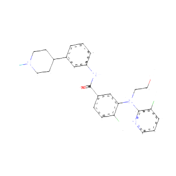 O=C(Nc1cccc(C2CCN(F)CC2)c1)c1ccc(Cl)c(N(CCO)c2ncccc2Cl)c1